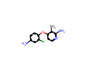 Nc1ccc(Oc2ccnc(N)c2[N+](=O)[O-])c(F)c1